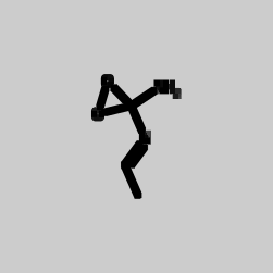 CC=NC1(N)OO1